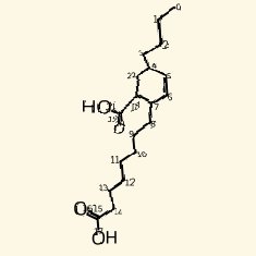 CCCCC1C=CC(CCCCCCCC(=O)O)C(C(=O)O)C1